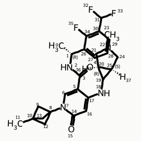 C[C@@H](NC(=O)c1cn(C23CC(C)(C2)C3)c(=O)cc1NC1[C@H]2CN(C)C[C@@H]12)c1cccc(C(F)F)c1F